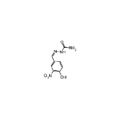 NC(=O)N/N=C\c1ccc(O)c([N+](=O)[O-])c1